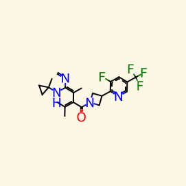 C=N/C(NC1(C)CC1)=C(\C)C(C(=O)N1CC(c2ncc(C(F)(F)F)cc2F)C1)=C(C)C